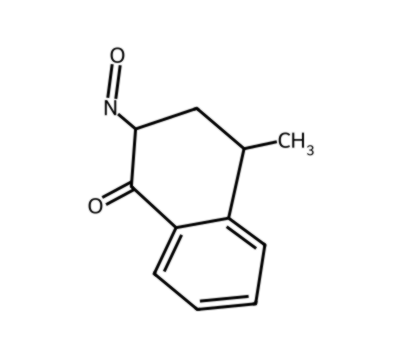 CC1CC(N=O)C(=O)c2ccccc21